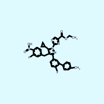 CCOC(=O)c1csc(-n2nc(-c3ccc(F)c(-c4ccc(C)cc4)c3)c(Cc3ccc(S(=O)O)c(F)c3)c2C2CC2)n1